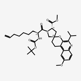 C=CCCCCC[C@H](NC(=O)OC(C)(C)C)C(=O)N1C[C@@]2(CCc3c(c(C(C)C)nc4ccc(OC)cc34)O2)C[C@H]1C(=O)OC